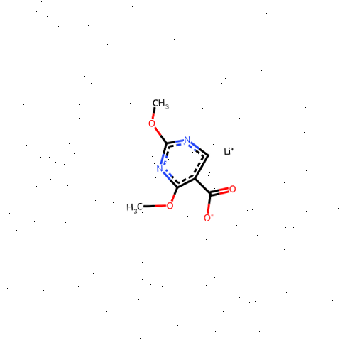 COc1ncc(C(=O)[O-])c(OC)n1.[Li+]